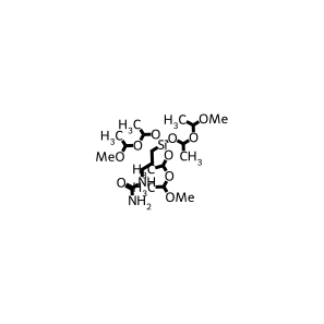 COC(C)OC(C)O[Si](CCCNC(N)=O)(OC(C)OC(C)OC)OC(C)OC(C)OC